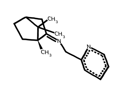 CC1(C)C2CC[C@@]1(C)C(=NCc1ccccn1)C2